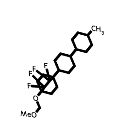 COCOC12CCC(C3CCC(C4CCC(C)CC4)CC3)(CC1)C(F)(F)C2(F)F